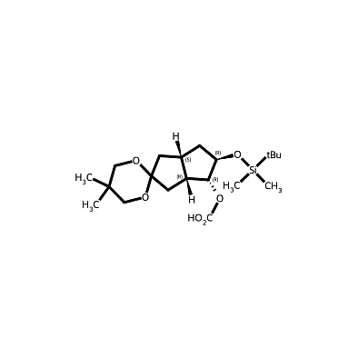 CC1(C)COC2(C[C@@H]3C[C@@H](O[Si](C)(C)C(C)(C)C)[C@H](OC(=O)O)[C@@H]3C2)OC1